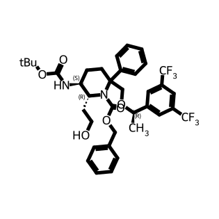 C[C@@H](OCC1(c2ccccc2)CC[C@H](NC(=O)OC(C)(C)C)[C@@H](CCO)N1C(=O)OCc1ccccc1)c1cc(C(F)(F)F)cc(C(F)(F)F)c1